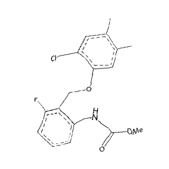 COC(=O)Nc1cccc(F)c1COc1cc(C)c(C)cc1Cl